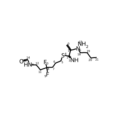 C=C(C(=N)SCCCC(F)(F)CCNC=O)N(N)CCCC